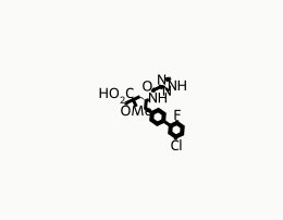 COC[C@](C)(C[C@@H](Cc1ccc(-c2cc(Cl)ccc2F)cc1)NC(=O)c1nc[nH]n1)C(=O)O